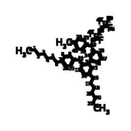 CCCCCCCc1ccc([I+]c2ccc(CCCCCCC)cc2)cc1.Cc1ccc([I+]c2ccccc2)cc1.F[B-](F)(F)F.F[B-](F)(F)F